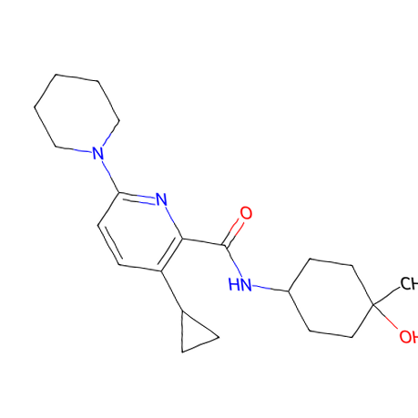 CC1(O)CCC(NC(=O)c2nc(N3CCCCC3)ccc2C2CC2)CC1